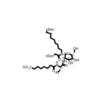 CCCCCCCCCCCCCCCCCCN(C(=O)CCCCCCCCCCC)[C@@H]1O[C@H](CO)[C@@H](O)[C@H](O)[C@H]1NC(=O)[C@H](CC(C)C)NC(=O)CCCCCCC(=O)O